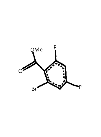 COC(=O)c1c(F)cc(F)cc1Br